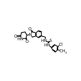 Cc1ccc(NC(=S)NCc2ccc3c(c2)CN(C2CCC(=O)NC2=O)C3=O)cc1Cl